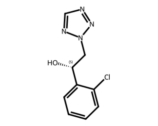 O[C@H](Cn1ncnn1)c1ccccc1Cl